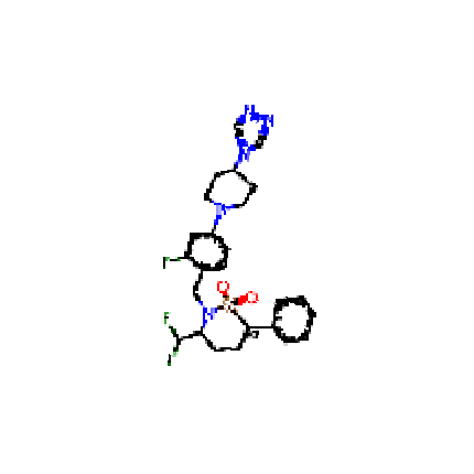 O=S1(=O)[C@@H](c2ccccc2)CCC(C(F)F)N1Cc1ccc(N2CCC(n3cnnc3)CC2)cc1F